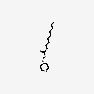 CCCCCCCCOC(=S)SSN1CCOCC1